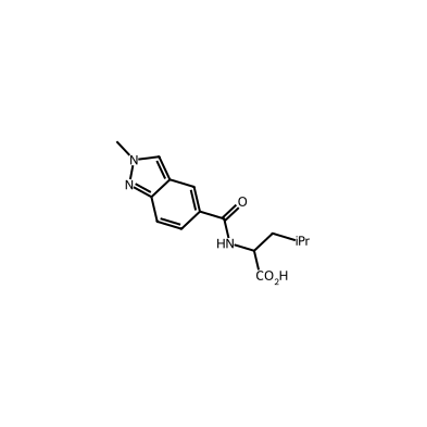 CC(C)CC(NC(=O)c1ccc2nn(C)cc2c1)C(=O)O